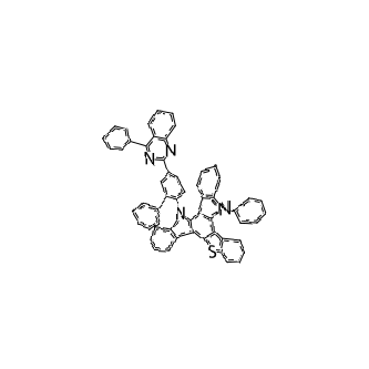 c1ccc(-c2cc(-c3nc(-c4ccccc4)c4ccccc4n3)ccc2-n2c3ccccc3c3c4sc5ccccc5c4c4c(c5ccccc5n4-c4ccccc4)c32)cc1